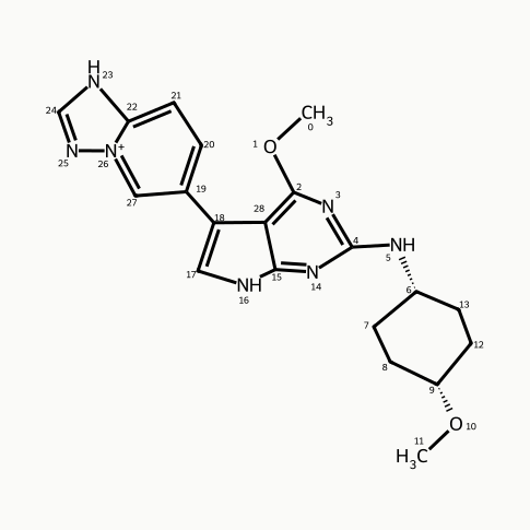 COc1nc(N[C@H]2CC[C@@H](OC)CC2)nc2[nH]cc(-c3ccc4[nH]cn[n+]4c3)c12